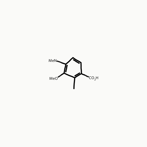 CNc1ccc(C(=O)O)c(C)c1OC